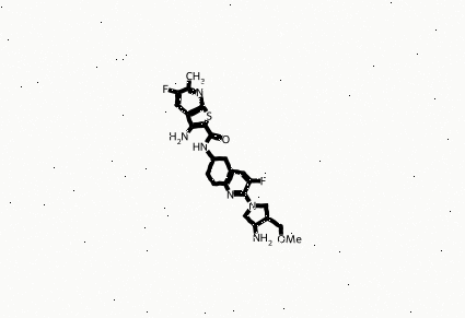 COCC1CN(c2nc3c(cc2F)CC(NC(=O)c2sc4nc(C)c(F)cc4c2N)CC3)CC1N